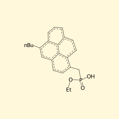 CCCCc1cc2ccc(CP(=O)(O)OCC)c3ccc4cccc1c4c23